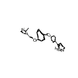 Cc1nccn1CCOc1ccc(Oc2ccc(-c3ccn[nH]3)cc2)cc1